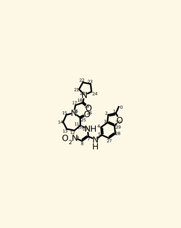 Cc1cc2cc(NC(=C[N+](=O)[O-])N[C@H]3CCCCN(CC(=O)N4CCCC4)C3=O)ccc2o1